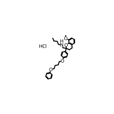 CCCCNCC1(c2ccc(OCCCCOc3ccccc3)cc2)CCc2cccc(OC)c2O1.Cl